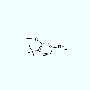 CC1(C)CC(C)(C)c2ccc(N)cc2O1